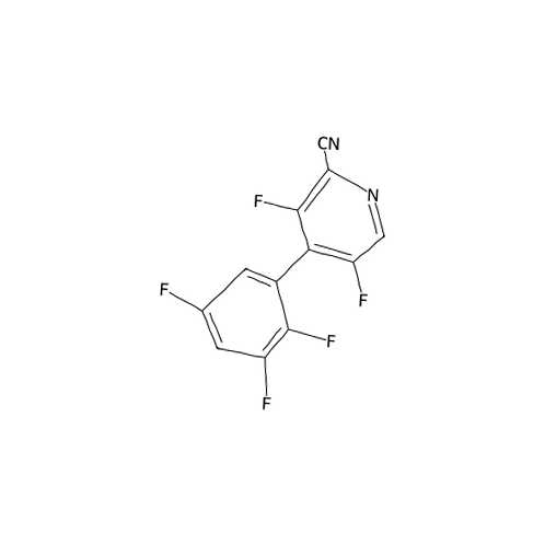 N#Cc1ncc(F)c(-c2cc(F)cc(F)c2F)c1F